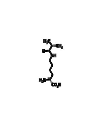 C=C(C)C(=O)NCCCC[C@@H](N)C(=O)O